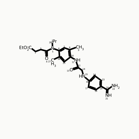 CCOC(=O)CCC(=O)N(c1cc(C)c(NC(=O)CNc2ccc(C(=N)N)cc2)cc1C)C(C)C